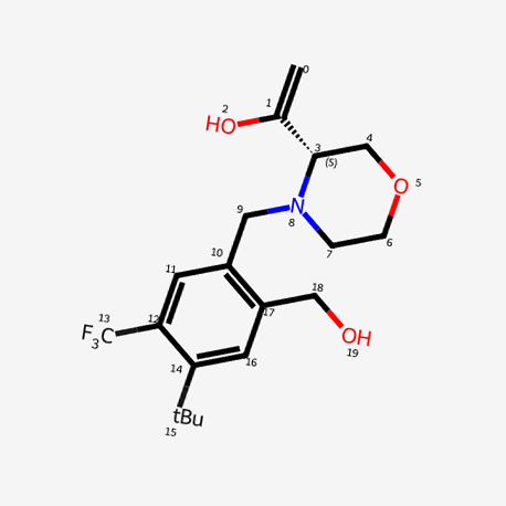 C=C(O)[C@@H]1COCCN1Cc1cc(C(F)(F)F)c(C(C)(C)C)cc1CO